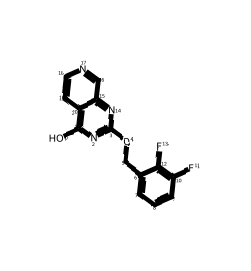 Oc1nc(OCc2cccc(F)c2F)nc2cnccc12